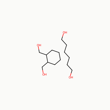 OCC1CCCCC1CO.OCCCCCCO